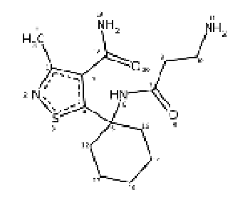 Cc1nsc(C2(NC(=O)CCN)CCCCC2)c1C(N)=O